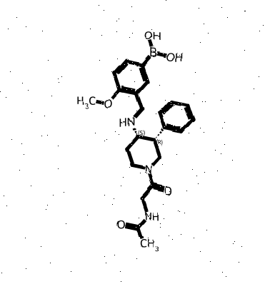 COc1ccc(B(O)O)cc1CN[C@H]1CCN(C(=O)CNC(C)=O)C[C@H]1c1ccccc1